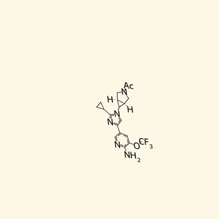 CC(=O)N1C[C@@H]2C(n3cc(-c4cnc(N)c(OC(F)(F)F)c4)nc3C3CC3)[C@@H]2C1